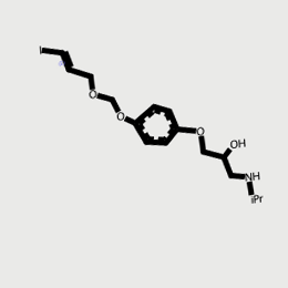 CC(C)NCC(O)COc1ccc(OCOC/C=C/I)cc1